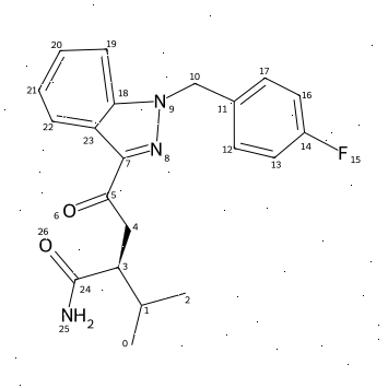 CC(C)[C@H](CC(=O)c1nn(Cc2ccc(F)cc2)c2ccccc12)C(N)=O